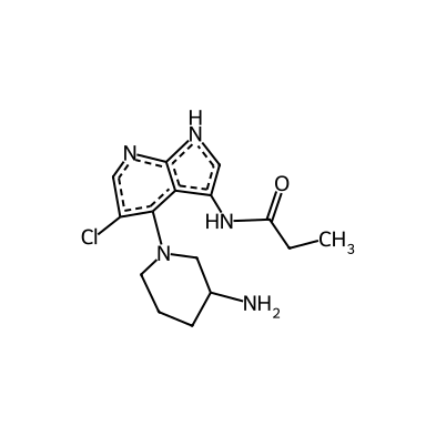 CCC(=O)Nc1c[nH]c2ncc(Cl)c(N3CCCC(N)C3)c12